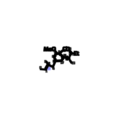 C/C=C(\C)Cc1cc(OC)c(Cl)c(N(C)C(=O)CC)c1